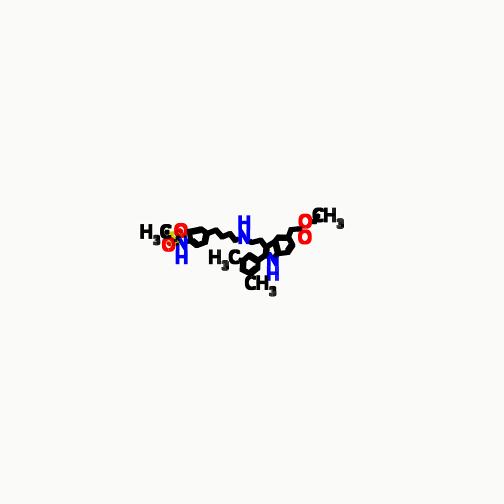 CCOC(=O)Cc1ccc2[nH]c(-c3cc(C)cc(C)c3)c(CCNCCCCc3ccc(NS(C)(=O)=O)cc3)c2c1